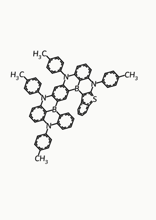 Cc1ccc(N2c3ccccc3B3c4cc5c(cc4N(c4ccc(C)cc4)c4cccc2c43)N(c2ccc(C)cc2)c2cccc3c2B5c2c(sc4ccccc24)N3c2ccc(C)cc2)cc1